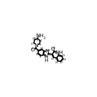 NC1CCN(C(=O)c2ccc3[nH]c(-c4cc5ccccc5[nH]c4=O)nc3c2)CC1